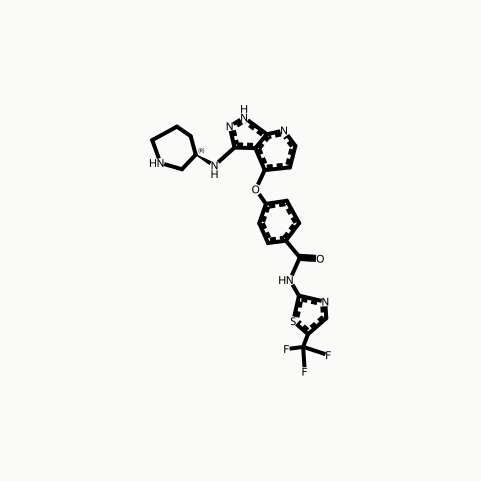 O=C(Nc1ncc(C(F)(F)F)s1)c1ccc(Oc2ccnc3[nH]nc(N[C@@H]4CCCNC4)c23)cc1